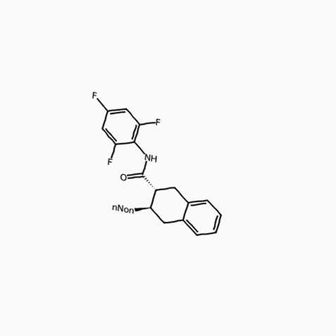 CCCCCCCCC[C@@H]1Cc2ccccc2C[C@H]1C(=O)Nc1c(F)cc(F)cc1F